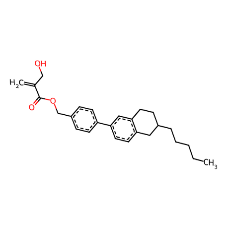 C=C(CO)C(=O)OCc1ccc(-c2ccc3c(c2)CCC(CCCCC)C3)cc1